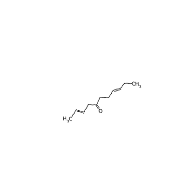 C/C=C/CC(=O)CC/C=C/CC